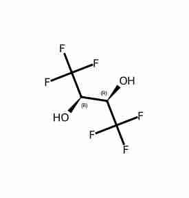 O[C@H]([C@@H](O)C(F)(F)F)C(F)(F)F